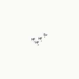 F.F.F.[Eu]